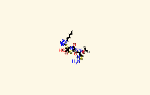 CCCCCCn1nnnc1SCC1(C(=O)O)CS[C@@H]2C(NC(=O)C(=NOC(C)C)c3csc(N)n3)C(=O)N2C1